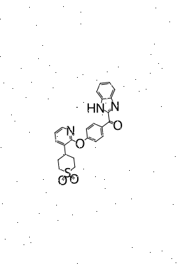 O=C(c1ccc(Oc2ncccc2C2CCS(=O)(=O)CC2)cc1)c1nc2ccccc2[nH]1